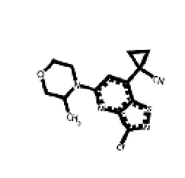 CC1COCCN1c1cc(C2(C#N)CC2)c2snc(Cl)c2n1